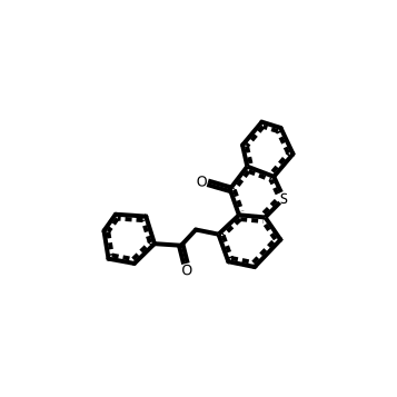 O=C(Cc1cccc2sc3ccccc3c(=O)c12)c1ccccc1